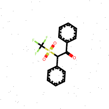 O=C(c1ccccc1)C(c1ccccc1)S(=O)(=O)C(F)(F)F